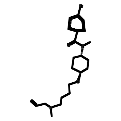 C=CCN(C)CCCCO[C@H]1CC[C@H](N(C)C(=O)c2ccc(Br)cc2)CC1